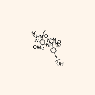 C=CC(=O)Nc1cc(Nc2cc(N3OCC[C@@H]3c3cccc(C#CC(C)(C)O)c3)ncn2)c(OC)cc1N(C)CCN(C)C